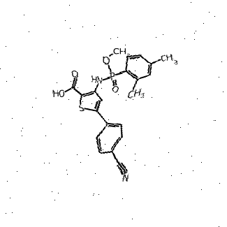 COP(=O)(Nc1cc(-c2ccc(C#N)cc2)sc1C(=O)O)c1ccc(C)cc1C